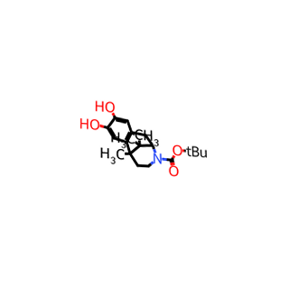 CC(C)(C)OC(=O)N1CCC2(C)c3cc(O)c(O)cc3CC1C2(C)C